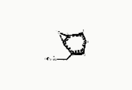 CCCCCCc1cccc2c1O2